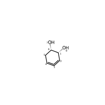 O[C@@H]1C=C=CC[C@@H]1O